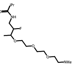 CNCCOCCOCCOC(C)C(F)CNC(=O)C(C)C